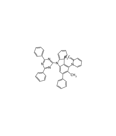 C=C1C=CC=CN1c1c(C)c(-c2ccccc2)cc2c1c1ccccc1n2-c1nc(-c2ccccc2)nc(-c2ccccc2)n1